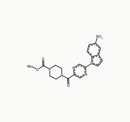 CC(C)(C)OC(=O)N1CCN(C(=O)c2cnc(-n3ccc4cc([N+](=O)[O-])ccc43)cn2)CC1